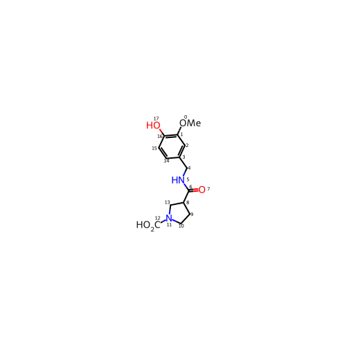 COc1cc(CNC(=O)C2CCN(C(=O)O)C2)ccc1O